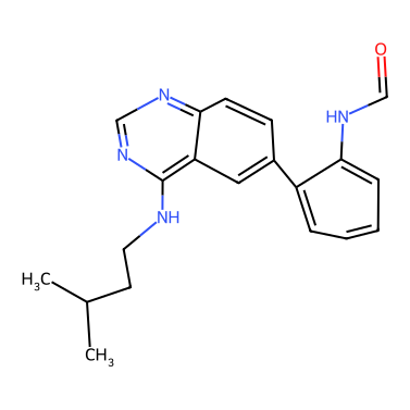 CC(C)CCNc1ncnc2ccc(-c3ccccc3NC=O)cc12